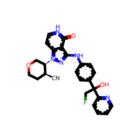 N#C[C@H]1CCOC[C@@H]1n1nc(Nc2ccc(C(O)(CF)c3ccccn3)cc2)c2c(=O)[nH]ccc21